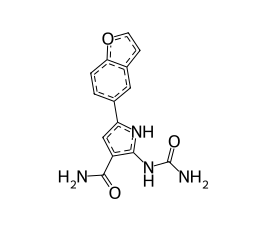 NC(=O)Nc1[nH]c(-c2ccc3occc3c2)cc1C(N)=O